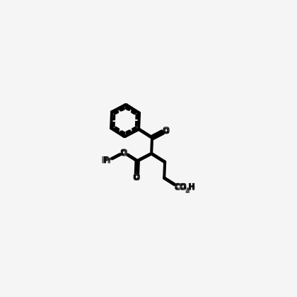 CC(C)OC(=O)C(CCC(=O)O)C(=O)c1ccccc1